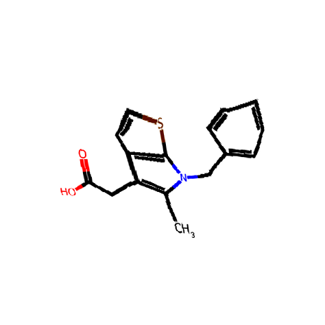 Cc1c(CC(=O)O)c2ccsc2n1Cc1ccccc1